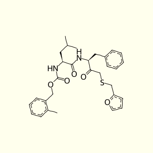 Cc1ccccc1COC(=O)N[C@@H](CC(C)C)C(=O)N[C@@H](Cc1ccccc1)C(=O)CSCc1ccco1